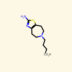 Nc1nc2c(s1)CCN(CCCC(=O)O)CC2